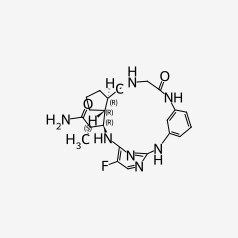 C[C@H](C(N)=O)[C@@H]1Nc2nc(ncc2F)Nc2cccc(c2)NC(=O)CNC[C@@H]2CCC[C@H]21